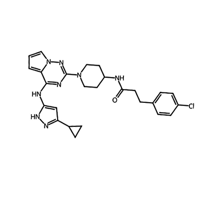 O=C(CCc1ccc(Cl)cc1)NC1CCN(c2nc(Nc3cc(C4CC4)n[nH]3)c3cccn3n2)CC1